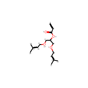 C=CC(=O)OC(COCC=C(C)C)COCC=C(C)C